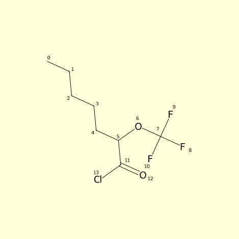 CCCCCC(OC(F)(F)F)C(=O)Cl